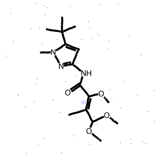 CO/C(C(=O)Nc1cc(C(C)(C)C)n(C)n1)=C(/C)C(OC)OC